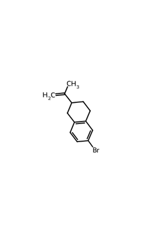 C=C(C)C1CCc2cc(Br)ccc2C1